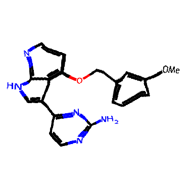 COc1cccc(COc2ccnc3[nH]cc(-c4ccnc(N)n4)c23)c1